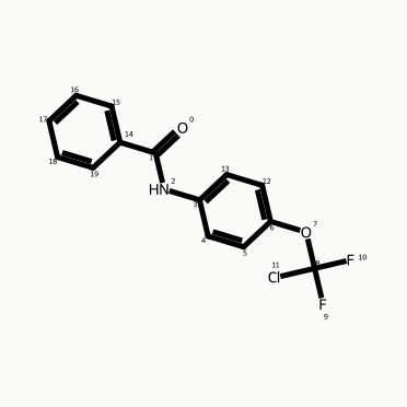 O=C(Nc1ccc(OC(F)(F)Cl)cc1)c1ccccc1